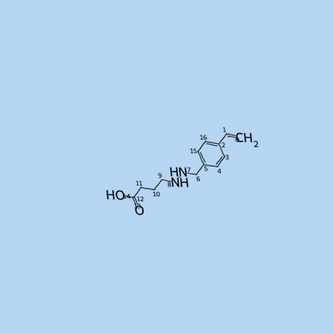 C=Cc1ccc(CNNCCCC(=O)O)cc1